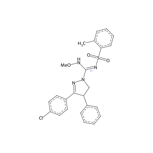 CON/C(=N\S(=O)(=O)c1ccccc1C)N1CC(c2ccccc2)C(c2ccc(Cl)cc2)=N1